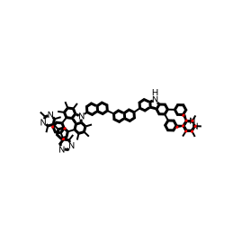 Cc1cc(C)c(-c2cccc(-c3cc4[nH]c5ccc(-c6ccc7ccc(-c8ccc9ccc(-n%10c%11c(C)c(C)c(C)c(-c%12cccc(-c%13cncnc%13C)c%12)c%11c%11c(-c%12cccc(-c%13c(C)nc(C)nc%13C)c%12)c(C)c(C)c(C)c%11%10)cc9c8)cc7c6)cc5c4cc3-c3cccc(-c4c(C)cc(C)nc4C)c3)c2)c(C)n1